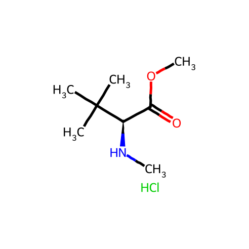 CN[C@H](C(=O)OC)C(C)(C)C.Cl